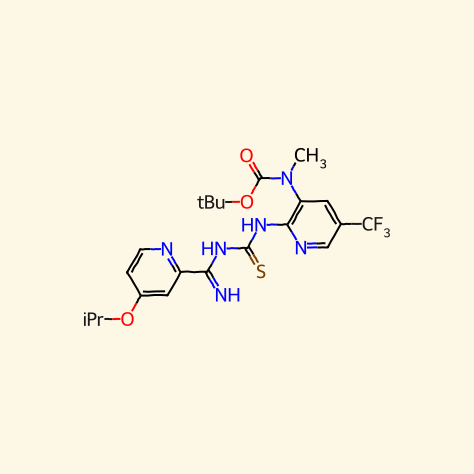 CC(C)Oc1ccnc(C(=N)NC(=S)Nc2ncc(C(F)(F)F)cc2N(C)C(=O)OC(C)(C)C)c1